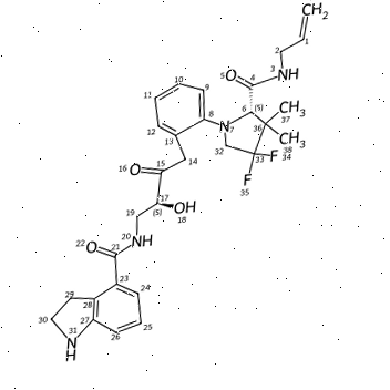 C=CCNC(=O)[C@H]1N(c2ccccc2CC(=O)[C@@H](O)CNC(=O)c2cccc3c2CCN3)CC(F)(F)C1(C)C